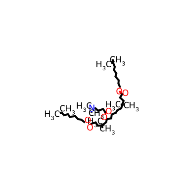 CC(C)CCCCCCCOC(=O)CCC(C)(C)CCCC(CCCC(C)(C)CCC(=O)OCCCCCCCC(C)C)OC(=O)CCCN(C)C